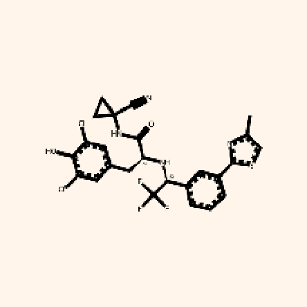 Cc1csc(-c2cccc([C@H](N[C@@H](Cc3cc(Cl)c(O)c(Cl)c3)C(=O)NC3(C#N)CC3)C(F)(F)F)c2)n1